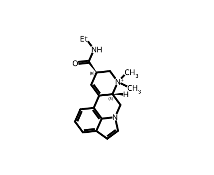 CCNC(=O)[C@@H]1C=C2c3cccc4ccn(c34)C[C@H]2[N+](C)(C)C1